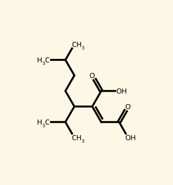 CC(C)CCC(C(=CC(=O)O)C(=O)O)C(C)C